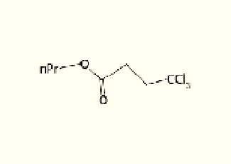 CCCOC(=O)CCC(Cl)(Cl)Cl